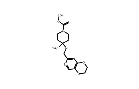 CC(C)(C)OC(=O)N1CCC(NCc2cc3c(cn2)OCCO3)(C(=O)O)CC1